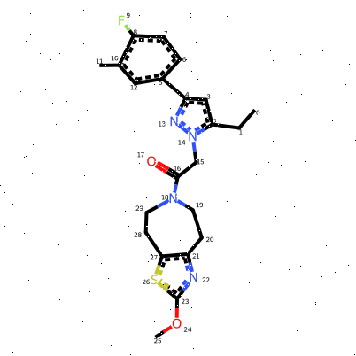 CCc1cc(-c2ccc(F)c(C)c2)nn1CC(=O)N1CCc2nc(OC)sc2CC1